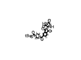 CC(C)(C)OC(=O)N1CCN(C(=O)c2ccc3c(c2)C(=O)N(C2NCC(=O)NC2=O)C3=O)CC1